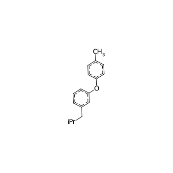 Cc1ccc(Oc2cccc(CC(C)C)c2)cc1